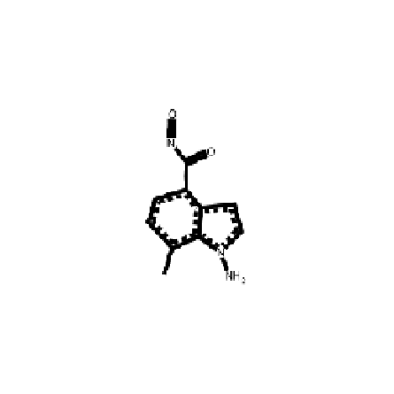 Cc1ccc(C(=O)N=O)c2ccn(N)c12